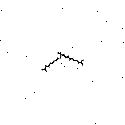 CC(C)CCCCCCCCP(O)OCCCCCCCC(C)C